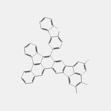 Cc1cc2c(C)c(C)cc3c4cc5c(cc4c(c1)c23)c(-c1ccc2sc3ccccc3c2c1)c1c2ccccc2c2c3ccccc3cc5c12